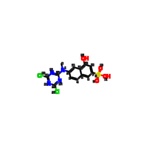 CN(c1ccc2cc(S(=O)(=O)O)cc(O)c2c1)c1nc(Cl)nc(Cl)n1